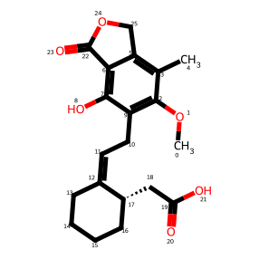 COc1c(C)c2c(c(O)c1CC=C1CCCC[C@H]1CC(=O)O)C(=O)OC2